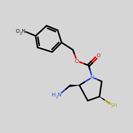 NC[C@@H]1C[C@H](S)CN1C(=O)OCc1ccc([N+](=O)[O-])cc1